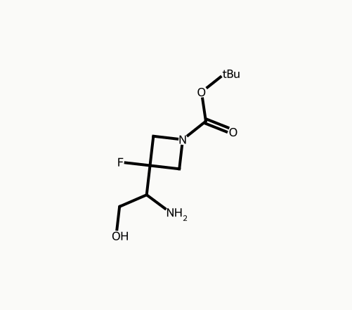 CC(C)(C)OC(=O)N1CC(F)(C(N)CO)C1